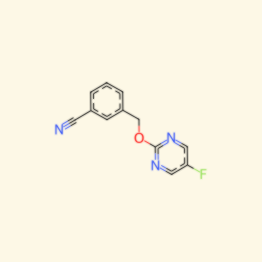 N#Cc1cccc(COc2ncc(F)cn2)c1